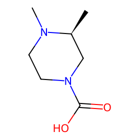 C[C@H]1CN(C(=O)O)CCN1C